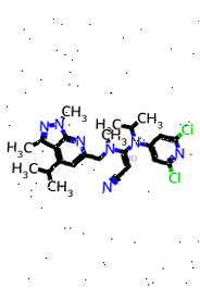 Cc1nn(C)c2nc(CN(C)/C(=C\C#N)N(c3cc(Cl)nc(Cl)c3)C(C)C)cc(C(C)C)c12